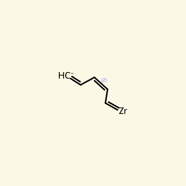 [CH-]=C/C=C\[CH]=[Zr]